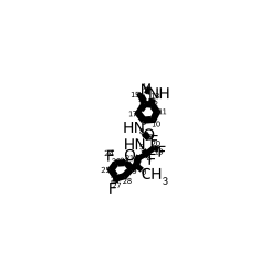 Cc1c(C(F)(NC(=O)Nc2ccc3[nH]ncc3c2)C(F)F)oc2c(F)cc(F)cc12